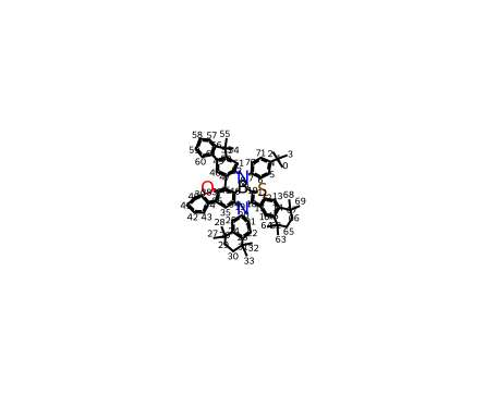 CC(C)(C)c1ccc(N2B3c4sc5cc6c(cc5c4N(c4ccc5c(c4)C(C)(C)CCC5(C)C)c4cc5c(oc7ccccc75)c(c43)-c3cc4c(cc32)C(C)(C)c2ccccc2-4)C(C)(C)CCC6(C)C)cc1